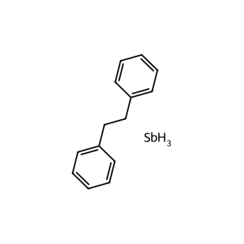 [SbH3].c1ccc(CCc2ccccc2)cc1